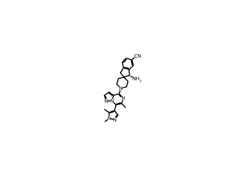 Cc1nc(N2CCC3(CC2)Cc2ccc(C#N)cc2[C@H]3N)c2ccnn2c1-c1cnn(C)c1C